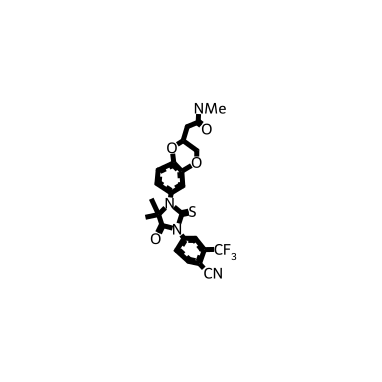 CNC(=O)CC1COc2cc(N3C(=S)N(c4ccc(C#N)c(C(F)(F)F)c4)C(=O)C3(C)C)ccc2O1